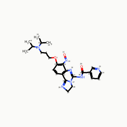 CC(C)N(CCCOc1ccc2c(c1N=O)N=C(NC(=O)c1cccnc1)N1CCN=C21)C(C)C